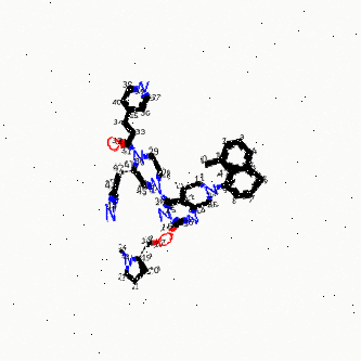 Cc1cccc2cccc(N3CCc4c(nc(OC[C@@H]5CCCN5C)nc4N4CCN(C(=O)/C=C/c5ccncc5)[C@@H](CC#N)C4)C3)c12